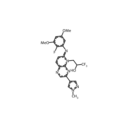 COc1cc(/N=c2\ccc3ncc(-c4cnn(C)c4)nc3n2CC(O)C(F)(F)F)c(F)c(OC)c1